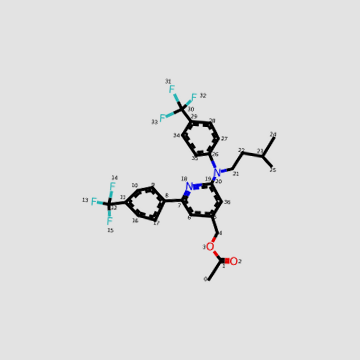 CC(=O)OCc1cc(-c2ccc(C(F)(F)F)cc2)nc(N(CCC(C)C)c2ccc(C(F)(F)F)cc2)c1